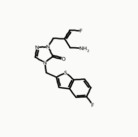 NC/C(=C\F)Cn1ncn(Cc2cc3cc(F)ccc3s2)c1=O